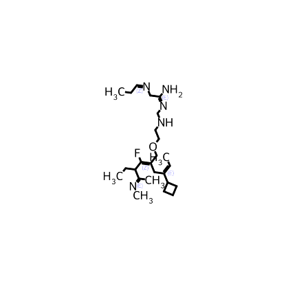 C/C=C(\C/C(COCCNC/N=C(/N)C/N=C\CC)=C(/F)C(CC)/C(C)=N/C)C1CCC1